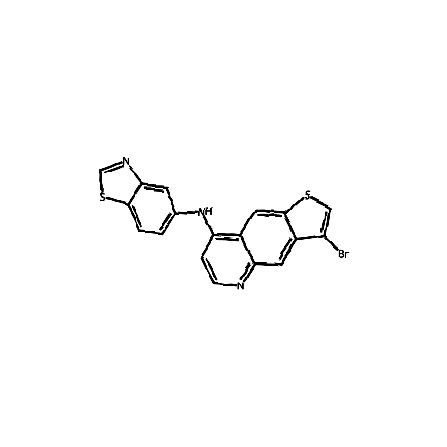 Brc1csc2cc3c(Nc4ccc5scnc5c4)ccnc3cc12